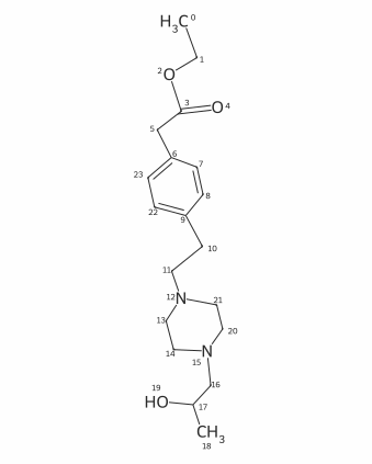 CCOC(=O)Cc1ccc(CCN2CCN(CC(C)O)CC2)cc1